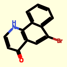 O=c1cc[nH]c2c1cc(Br)c1ccccc12